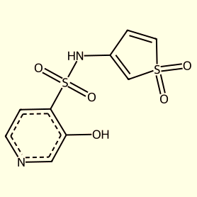 O=S1(=O)C=CC(NS(=O)(=O)c2ccncc2O)=C1